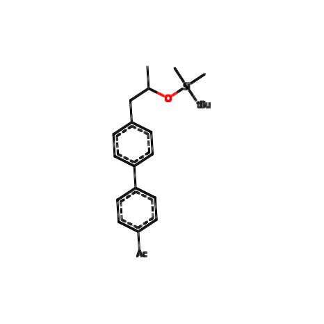 CC(=O)c1ccc(-c2ccc(CC(C)O[Si](C)(C)C(C)(C)C)cc2)cc1